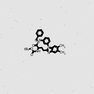 Cc1cc2nc(CCC(NC(=O)OC(C)(C)C)C(=O)OCc3ccccc3)n(-c3cccc([N+](=O)[O-])c3)c2cc1C